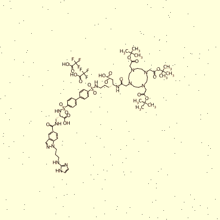 CC(C)(C)OC(=O)CN1CCN(CC(=O)N[C@H](CCCNS(=O)(=O)c2ccc(-c3ccc(S(=O)(=O)N[C@@H](CNC(=O)c4ccc5c(cnn5CCCNc5ncc[nH]5)c4)C(=O)O)cc3)cc2)CS(=O)(=O)O)CCN(CC(=O)OC(C)(C)C)CCN(CC(=O)OC(C)(C)C)CC1.O=C(O)C(F)(F)F.O=C(O)C(F)(F)F